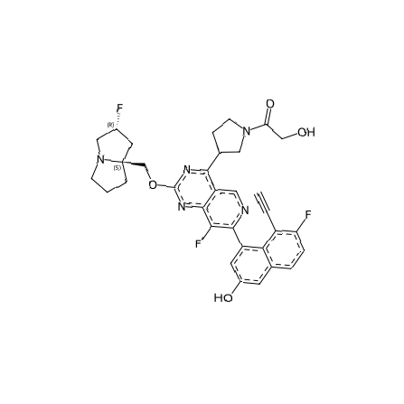 C#Cc1c(F)ccc2cc(O)cc(-c3ncc4c(C5CCN(C(=O)CO)C5)nc(OC[C@@]56CCCN5C[C@H](F)C6)nc4c3F)c12